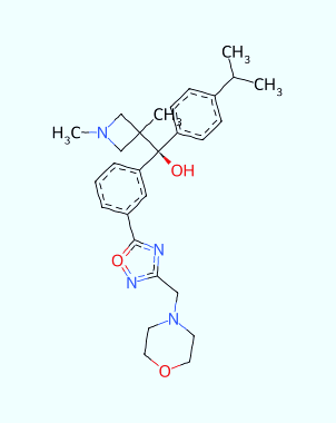 CC(C)c1ccc([C@](O)(c2cccc(-c3nc(CN4CCOCC4)no3)c2)C2(C)CN(C)C2)cc1